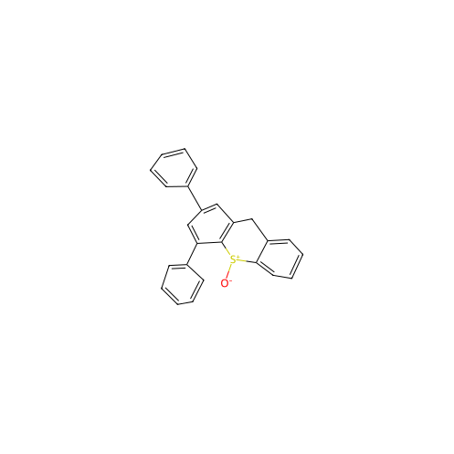 [O-][S+]1c2ccccc2Cc2cc(-c3ccccc3)cc(-c3ccccc3)c21